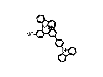 N#Cc1ccc(-c2cc(-c3ccc(-n4c5ccccc5c5ccccc54)cc3)ccc2C#N)c(-n2c3ccccc3c3ccccc32)c1